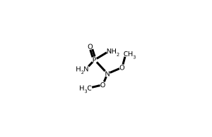 CON(OC)P(N)(N)=O